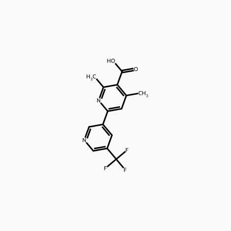 Cc1cc(-c2cncc(C(F)(F)F)c2)nc(C)c1C(=O)O